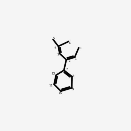 C/C=C(\C=C(C)C)c1ccccc1